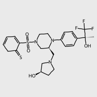 C[C@](O)(c1ccc(N2CCN(S(=O)(=O)C3=CC=CCC3=S)C[C@@H]2CN2CC[C@@H](O)C2)cc1)C(F)(F)F